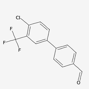 O=Cc1ccc(-c2ccc(Cl)c(C(F)(F)F)c2)cc1